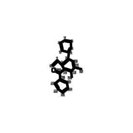 C=Cc1c(-c2ccccc2)cc(C)c(C)c1C(=O)c1ccccc1